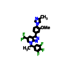 COc1cc(-c2nnc3n([C@@H](C)c4cc(F)c(F)c(F)c4)cc(C(F)F)cc2-3)ccc1-n1cnc(C)c1